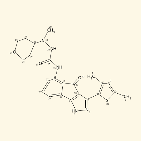 Cc1nc(C)c(-c2n[nH]c3c2C(=O)c2c(NC(=O)NN(C)C4CCOCC4)cccc2-3)s1